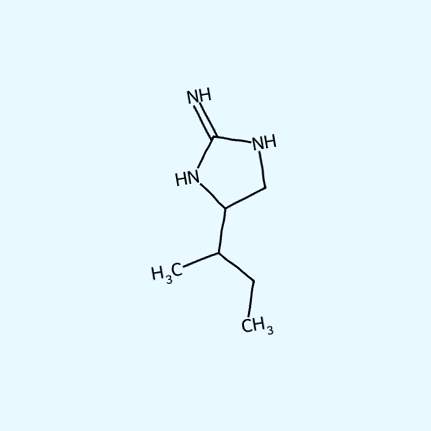 CCC(C)C1CNC(=N)N1